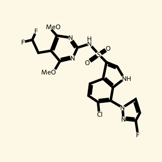 COc1nc(NS(=O)(=O)c2c[nH]c3c(-n4ccc(F)n4)c(Cl)ccc23)nc(OC)c1CC(F)F